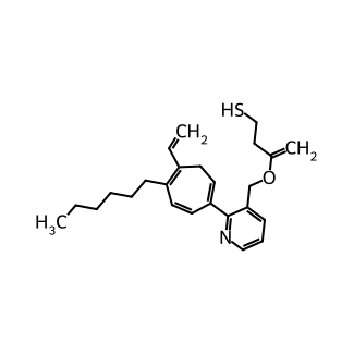 C=CC1=C(CCCCCC)C=CC(c2ncccc2COC(=C)CCS)=CC1